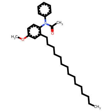 CCCCCCCCCCCCCCCc1cc(OC)ccc1N(C(C)=O)c1ccccc1